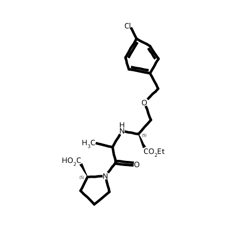 CCOC(=O)[C@H](COCc1ccc(Cl)cc1)NC(C)C(=O)N1CCC[C@H]1C(=O)O